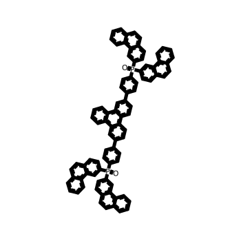 O=P(c1ccc(-c2ccc3c4ccc(-c5ccc(P(=O)(c6ccc7ccc8ccccc8c7c6)c6ccc7ccc8ccccc8c7c6)cc5)cc4c4ccccc4c3c2)cc1)(c1ccc2ccc3ccccc3c2c1)c1ccc2ccc3ccccc3c2c1